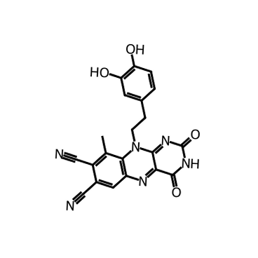 Cc1c(C#N)c(C#N)cc2nc3c(=O)[nH]c(=O)nc-3n(CCc3ccc(O)c(O)c3)c12